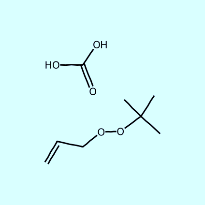 C=CCOOC(C)(C)C.O=C(O)O